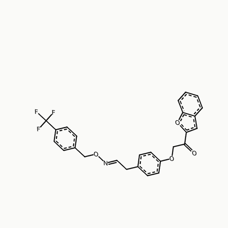 O=C(COc1ccc(CC=NOCc2ccc(C(F)(F)F)cc2)cc1)c1cc2ccccc2o1